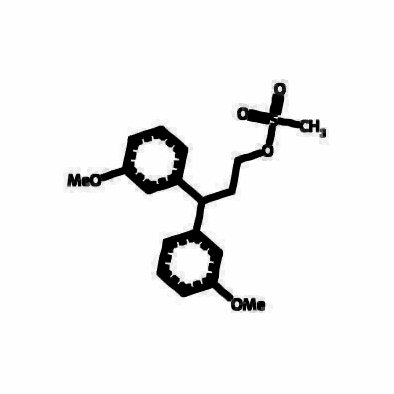 COc1cccc(C(CCOS(C)(=O)=O)c2cccc(OC)c2)c1